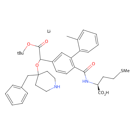 CSCC[C@H](NC(=O)c1ccc(C(OC2(Cc3ccccc3)CCNCC2)C(=O)OC(C)(C)C)cc1-c1ccccc1C)C(=O)O.[Li]